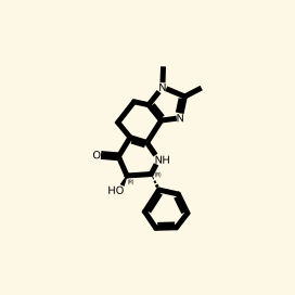 Cc1nc2c(n1C)CCC1=C2N[C@H](c2ccccc2)[C@@H](O)C1=O